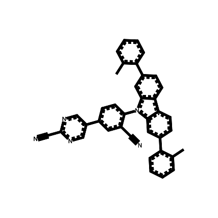 Cc1ccccc1-c1ccc2c3ccc(-c4ccccc4C)cc3n(-c3ccc(-c4cnc(C#N)nc4)cc3C#N)c2c1